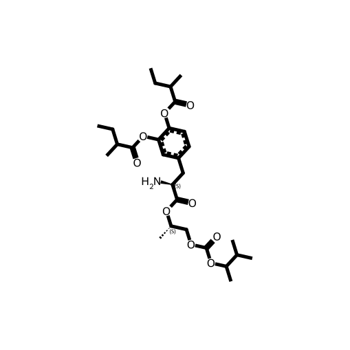 CCC(C)C(=O)Oc1ccc(C[C@H](N)C(=O)O[C@@H](C)COC(=O)OC(C)C(C)C)cc1OC(=O)C(C)CC